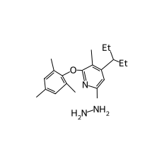 CCC(CC)c1cc(C)nc(Oc2c(C)cc(C)cc2C)c1C.NN